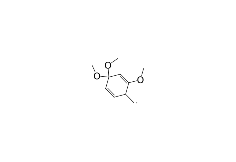 [CH2]C1C=CC(OC)(OC)C=C1OC